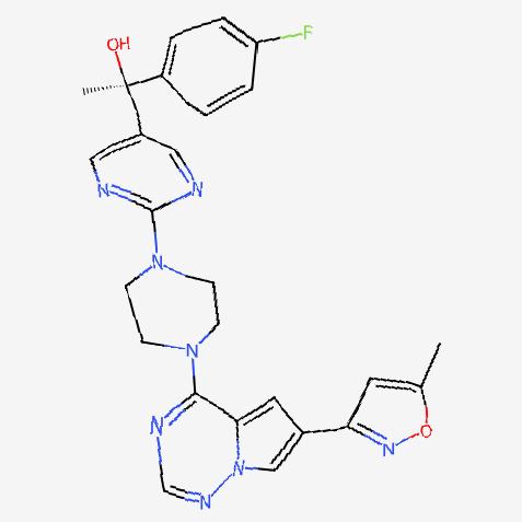 Cc1cc(-c2cc3c(N4CCN(c5ncc([C@@](C)(O)c6ccc(F)cc6)cn5)CC4)ncnn3c2)no1